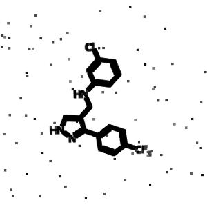 FC(F)(F)c1ccc(-c2n[nH]cc2CNc2cccc(Cl)c2)cc1